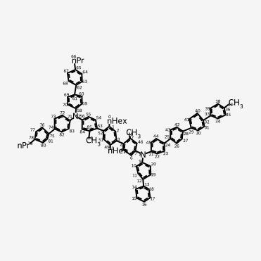 CCCCCCc1cc(-c2ccc(N(c3ccc(-c4ccccc4)cc3)c3ccc(-c4ccc(-c5ccc(-c6ccc(C)cc6)cc5)cc4)cc3)cc2C)c(CCCCCC)cc1-c1ccc(N(c2ccc(-c3ccc(CCC)cc3)cc2)c2ccc(-c3ccc(CCC)cc3)cc2)cc1C